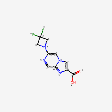 O=C(O)c1cn2cc(N3CC(F)(F)C3)ncc2n1